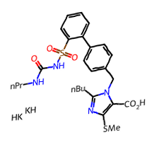 CCCCc1nc(SC)c(C(=O)O)n1Cc1ccc(-c2ccccc2S(=O)(=O)NC(=O)NCCC)cc1.[KH].[KH]